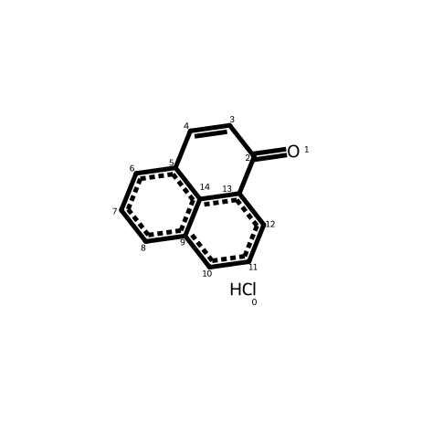 Cl.O=C1C=Cc2cccc3cccc1c23